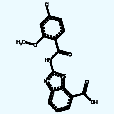 COc1cc(Cl)ccc1C(=O)Nc1nc2cccc(C(=O)O)c2s1